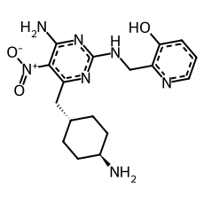 Nc1nc(NCc2ncccc2O)nc(C[C@H]2CC[C@H](N)CC2)c1[N+](=O)[O-]